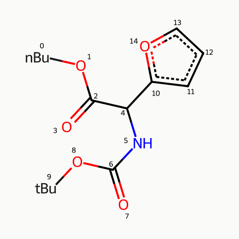 CCCCOC(=O)C(NC(=O)OC(C)(C)C)c1ccco1